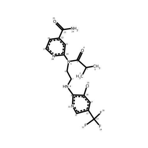 CC(C)C(=O)N(CCNc1ncc(C(F)(F)F)cc1Cl)c1cc(C(N)=O)ccn1